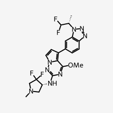 COc1nc(N[C@@H]2CN(C)CC2(F)F)nn2ccc(-c3ccc4nnn([C@@H](C)C(F)F)c4c3)c12